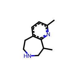 Cc1ccc2c(n1)C(C)CNCC2